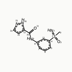 CS(=N)(=O)c1cccc(NC(=O)c2ccn[nH]2)c1